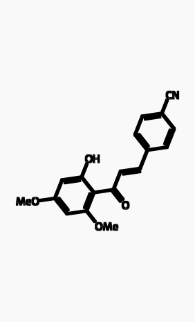 COc1cc(O)c(C(=O)/C=C/c2ccc(C#N)cc2)c(OC)c1